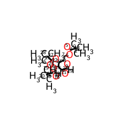 CC(C)(C)C(=O)OC[C@H]1O[C@@H]2O[C@@H]2[C@@H](OC(=O)C(C)(C)C)[C@@H]1OC(=O)C(C)(C)C